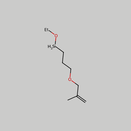 C=C(C)COCCC[SiH2]OCC